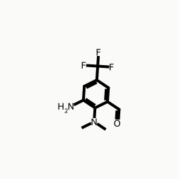 CN(C)c1c(N)cc(C(F)(F)F)cc1C=O